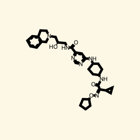 O=C(NC1CCC(Nc2cc(C(=O)NC[C@H](O)CN3CCc4ccccc4C3)ncn2)CC1)/C(=N\OC1CCCC1)C1CC1